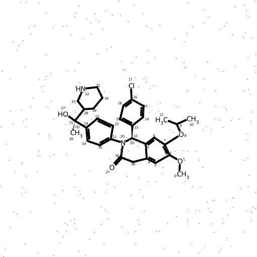 COc1cc2c(cc1OC(C)C)[C@H](c1ccc(Cl)cc1)N(c1ccc([C@@](C)(O)C3CCCNC3)cc1)C(=O)C2